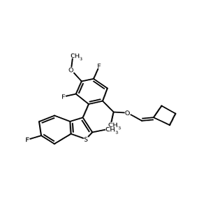 COc1c(F)cc(C(C)OC=C2CCC2)c(-c2c(C)sc3cc(F)ccc23)c1F